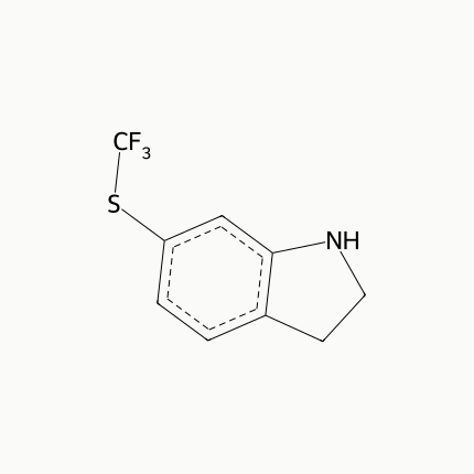 FC(F)(F)Sc1ccc2c(c1)NCC2